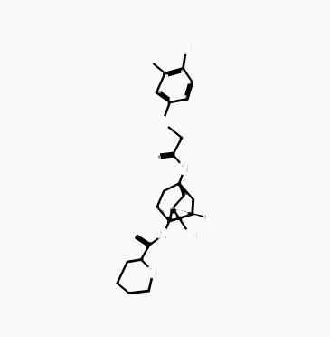 O=C(COc1ccc(Cl)c(F)c1)NC12CCC(NC(=O)C3CCCCN3)(CC1)[C@@H](O)C2